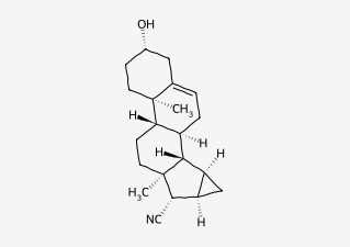 C[C@]12CC[C@H]3[C@@H](CC=C4C[C@@H](O)CC[C@@]43C)[C@@H]1[C@H]1C[C@H]1[C@@H]2C#N